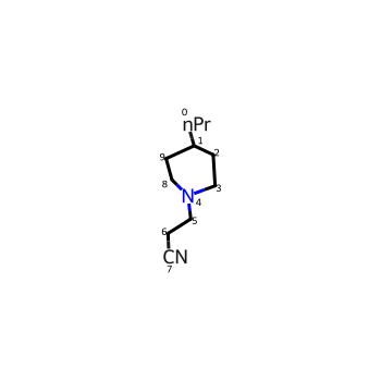 CCCC1CCN(CCC#N)CC1